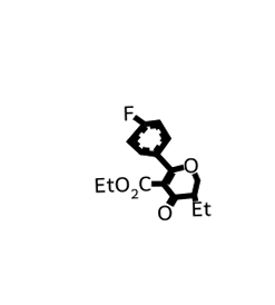 CCOC(=O)C1=C(c2ccc(F)cc2)OCC(CC)C1=O